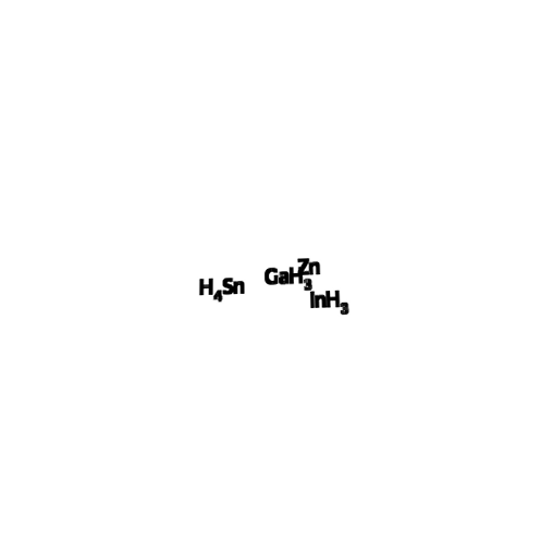 [GaH3].[InH3].[SnH4].[Zn]